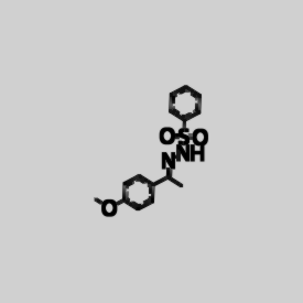 COc1ccc(C(C)=NNS(=O)(=O)c2ccccc2)cc1